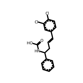 O=C(O)NC(CC=Cc1ccc(Cl)c(Cl)c1)c1ccccc1